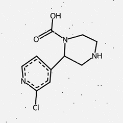 O=C(O)N1CCNCC1c1ccnc(Cl)c1